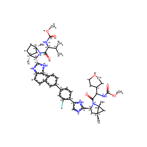 COC(=O)NC(C(=O)N1[C@@H]2C[C@@H]2C[C@H]1c1ncc(-c2ccc(-c3ccc4c(ccc5nc([C@@H]6[C@H]7CC[C@H](C7)N6C(=O)[C@@H](NC(=O)OC)C(C)C)[nH]c54)c3)cc2F)[nH]1)C1CCOCC1